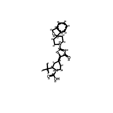 CC(C)(C)C1C/C(=C2\SC(N3CCC4(CC3)OCc3ccccc34)=NC2=O)CCN1C(=O)O